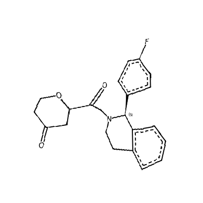 O=C1CCOC(C(=O)N2CCc3ccccc3[C@@H]2c2ccc(F)cc2)C1